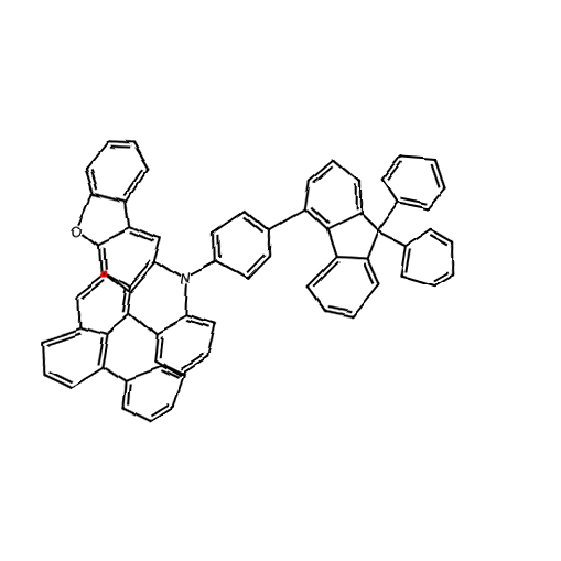 c1ccc(-c2cccc3cccc(-c4ccccc4N(c4ccc(-c5cccc6c5-c5ccccc5C6(c5ccccc5)c5ccccc5)cc4)c4ccc5oc6ccccc6c5c4)c23)cc1